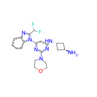 N[C@H]1C[C@H](Nc2cc(-n3c(C(F)F)nc4ccccc43)nc(N3CCOCC3)n2)C1